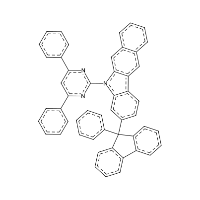 c1ccc(-c2cc(-c3ccccc3)nc(-n3c4cc(C5(c6ccccc6)c6ccccc6-c6ccccc65)ccc4c4cc5ccccc5cc43)n2)cc1